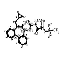 COC(C(=O)NCC(F)(F)C(F)(F)F)C(=O)N[C@@H]1C(=O)N(CC2CC2)c2ccccc2-c2ccccc21